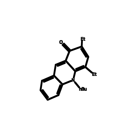 CCCCn1c2c(CC)cc(CC)c(=O)c-2cc2ccccc21